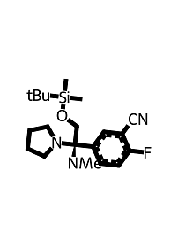 CN[C@@](CO[Si](C)(C)C(C)(C)C)(c1ccc(F)c(C#N)c1)N1CCCC1